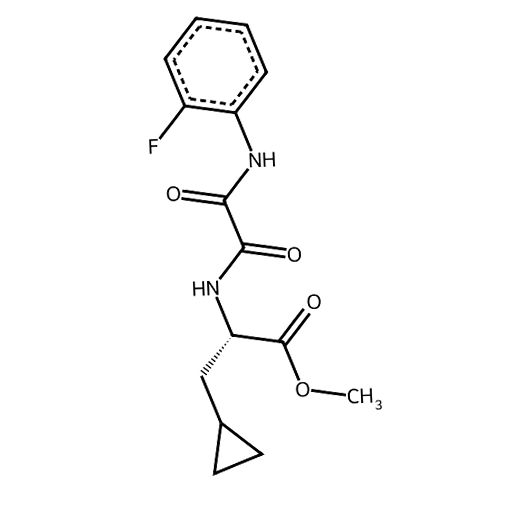 COC(=O)[C@H](CC1CC1)NC(=O)C(=O)Nc1ccccc1F